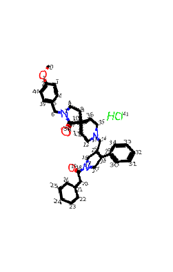 COc1ccc(CN2CCC3(CCN(CC4CN(C(=O)CC5CCCCC5)CC4c4ccccc4)CC3)C2=O)cc1.Cl